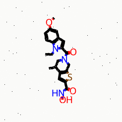 CCn1c(C(=O)N2Cc3sc(C(=O)NO)cc3C(C)C2)cc2cc(OC)ccc21